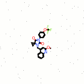 COc1cc(CN2C(=O)N(c3ccc(OC(F)(F)F)cc3)C(=O)C23CC3)c2ccccc2n1